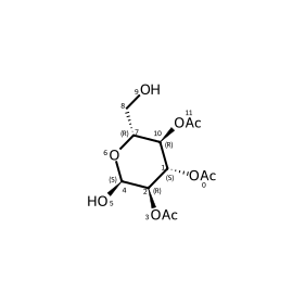 CC(=O)O[C@@H]1[C@@H](OC(C)=O)[C@@H](O)O[C@H](CO)[C@H]1OC(C)=O